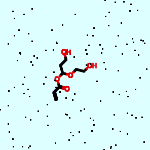 C=CC(=O)OC(CCO)OCCO